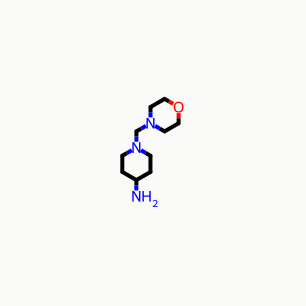 NC1CCN(CN2CCOCC2)CC1